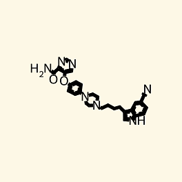 N#Cc1ccc2[nH]cc(CCCCN3CCN(c4ccc(Oc5cncnc5C(N)=O)cc4)CC3)c2c1